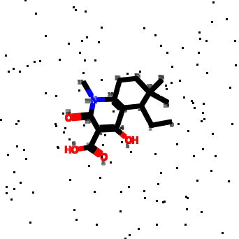 CCC1c2c(O)c(C(=O)O)c(=O)n(C)c2CCC1(C)C